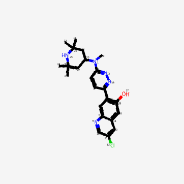 CN(c1ccc(-c2cc3ncc(Cl)cc3cc2O)nn1)C1CC(C)(C)NC(C)(C)C1